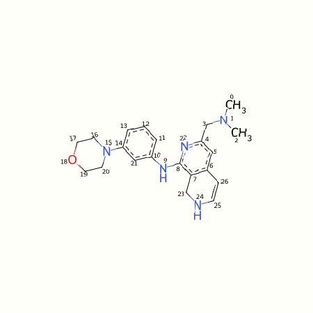 CN(C)Cc1cc2c(c(Nc3cccc(N4CCOCC4)c3)n1)CNC=C2